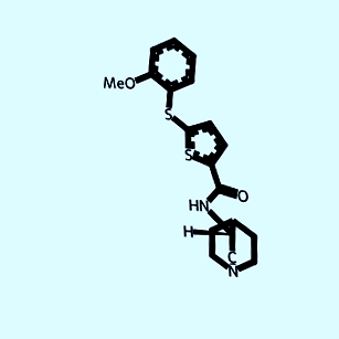 COc1ccccc1Sc1ccc(C(=O)N[C@H]2CN3CCC2CC3)s1